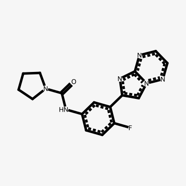 O=C(Nc1ccc(F)c(-c2cn3nccnc3n2)c1)N1CCCC1